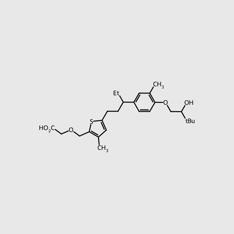 CCC(CCc1cc(C)c(COCC(=O)O)s1)c1ccc(OCC(O)C(C)(C)C)c(C)c1